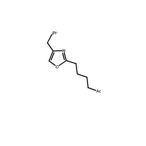 C[C](C)Cc1coc(CCCCC(C)=O)n1